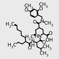 C=CCCCCC(CCC)C(=O)NC(CC(C)C)C(=O)NC(CC(CC=C)C(=O)N(C)Cc1ccc(OC)cc1OC)C(=O)O